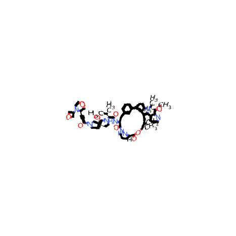 CCn1c(-c2cccnc2[C@H](C)OC)c2c3cc(ccc31)-c1cccc(c1)CC(NC(=O)[C@H](C(C)C)N1CC[C@@]3(CCN(C(=O)C#C[C@@H]4COCCN4C4COC4)C3)C1=O)C(=O)N1CCC[C@H](N1)C(=O)OCC(C)(C)C2